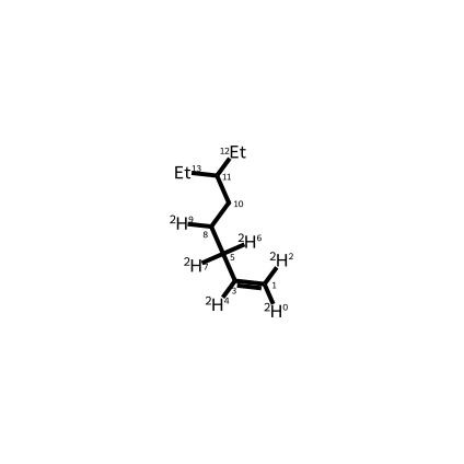 [2H]C([2H])=C([2H])C([2H])([2H])C([2H])CC(CC)CC